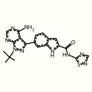 CC(C)(C)n1nc(-c2ccc3cc(C(=O)Nc4ncns4)[nH]c3c2)c2c(N)ncnc21